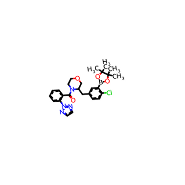 CC1(C)OB(c2cc(CC3COCCN3C(=O)c3ccccc3-n3nccn3)ccc2Cl)OC1(C)C